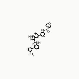 Cc1cccc(-c2cccc3[nH]c(-c4n[nH]c5ncc(-c6cncc(NC(=O)N7CCOCC7)c6)cc45)nc23)c1